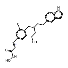 O=C(/C=C/c1ccc(CN(CCO)CCc2ccc3[nH]ccc3c2)c(F)c1)NO